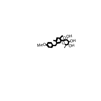 COc1ccc(Cc2cc3c(cc2C)CO[C@]32O[C@H](C)[C@@H](O)[C@H](O)[C@H]2O)cc1